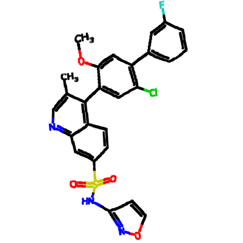 COc1cc(-c2cccc(F)c2)c(Cl)cc1-c1c(C)cnc2cc(S(=O)(=O)Nc3ccon3)ccc12